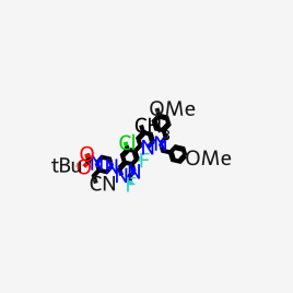 COc1ccc(CN(Cc2ccc(OC)cc2)c2cc(C)cc(-c3c(Cl)cc4c(N5CCN(C(=O)OC(C)(C)C)C(CC#N)C5)nc(F)nc4c3F)n2)cc1